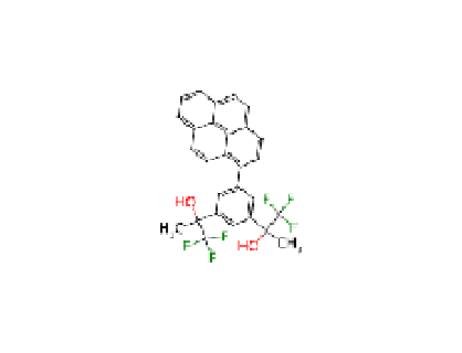 CC(O)(c1cc(-c2ccc3ccc4cccc5ccc2c3c45)cc(C(C)(O)C(F)(F)F)c1)C(F)(F)F